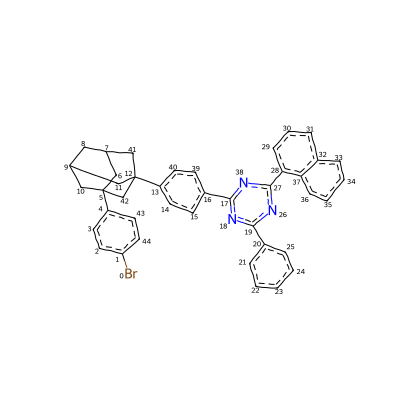 Brc1ccc(C23CC4CC(C2)CC(c2ccc(-c5nc(-c6ccccc6)nc(-c6cccc7ccccc67)n5)cc2)(C4)C3)cc1